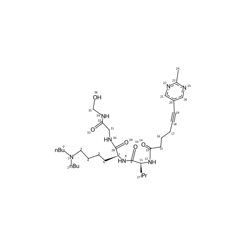 CCCCN(CCCC)CCCC[C@H](NC(=O)[C@@H](NC(=O)CCCC#Cc1cnc(C)nc1)C(C)C)C(=O)NCC(=O)NCO